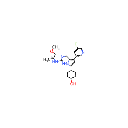 COC[C@H](C)Nc1ncc2c(-c3cncc(F)c3)cc([C@H]3CC[C@H](O)CC3)n2n1